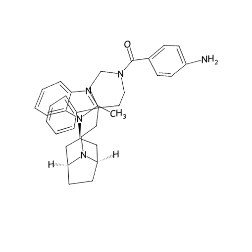 Cc1nc2ccccc2n1[C@H]1C[C@H]2CC[C@@H](C1)N2CCC1(c2ccccc2)CCN(C(=O)c2ccc(N)cc2)CC1